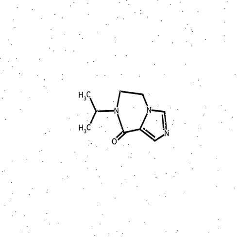 CC(C)N1CCn2cncc2C1=O